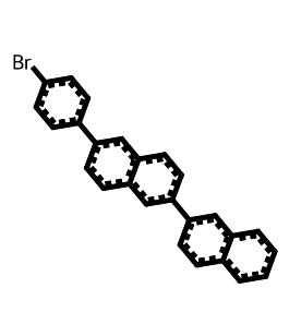 Brc1ccc(-c2ccc3cc(-c4ccc5ccccc5c4)ccc3c2)cc1